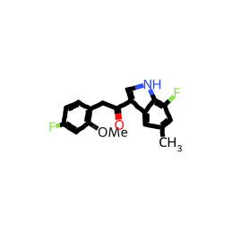 COc1cc(F)ccc1CC(=O)c1c[nH]c2c(F)cc(C)cc12